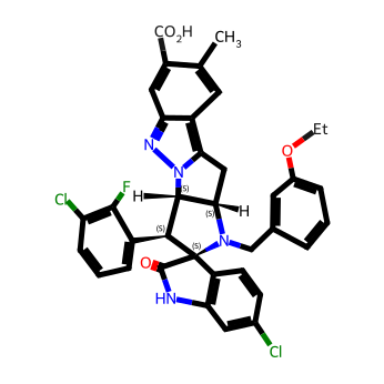 CCOc1cccc(CN2[C@H]3Cc4c5cc(C)c(C(=O)O)cc5nn4[C@H]3[C@H](c3cccc(Cl)c3F)[C@]23C(=O)Nc2cc(Cl)ccc23)c1